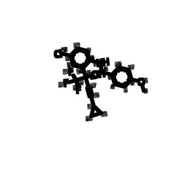 COc1ccc(CNc2ccc(Cl)cc2C(O)(C#CC2CC2)C(F)(F)F)cc1